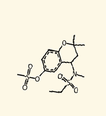 CCS(=O)(=O)N(C)C1CC(C)(C)Oc2ccc(OS(C)(=O)=O)cc21